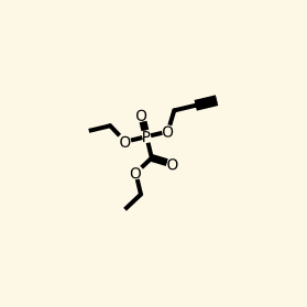 C#CCOP(=O)(OCC)C(=O)OCC